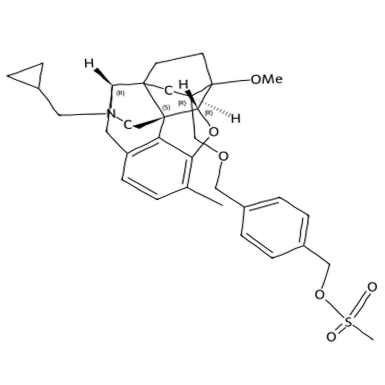 COC12CCC3(C[C@@H]1COCc1ccc(COS(C)(=O)=O)cc1)[C@H]1Cc4ccc(C)c5c4[C@@]3(CCN1CC1CC1)[C@H]2O5